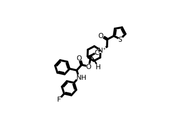 O=C(C[N+]12CCC(CC1)[C@@H](OC(=O)C(Nc1ccc(F)cc1)c1ccccc1)C2)c1cccs1